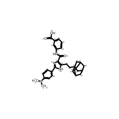 CN(C)c1ccc(-c2nc(C(=O)Nc3cccc(C(=O)O)c3)c(CCC34CC5CC(CC(C5)C3)C4)[nH]2)cc1